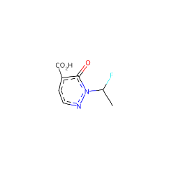 CC(F)n1nccc(C(=O)O)c1=O